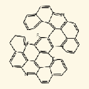 Fc1c(F)c(-c2c3c(ccc4ccccc43)nc3ccc4ccccc4c23)c(F)c(F)c1-c1c2c3c(ccc2nc2ccc4ccccc4c12)CCC=C3